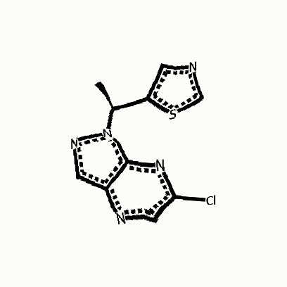 C[C@@H](c1cncs1)n1ncc2ncc(Cl)nc21